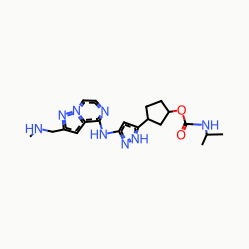 CNCc1cc2c(Nc3cc(C4CCC(OC(=O)NC(C)C)C4)[nH]n3)nccn2n1